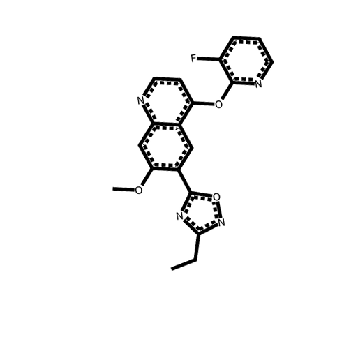 CCc1noc(-c2cc3c(Oc4ncccc4F)ccnc3cc2OC)n1